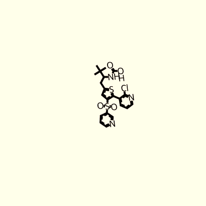 CC(C)(C)C(Cc1cc(S(=O)(=O)c2cccnc2)c(-c2cccnc2Cl)s1)NC(=O)O